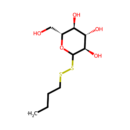 [CH2]CCCSSC1O[C@H](CO)[C@@H](O)[C@H](O)[C@H]1O